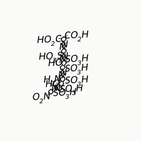 Nc1c(N=Nc2ccc3c(O)c(N=Nc4ccc(N=Nc5cc(C(=O)O)cc(C(=O)O)c5)cc4S(=O)(=O)O)c(S(=O)(=O)O)cc3c2S(=O)(=O)O)cc(S(=O)(=O)O)c2cc(S(=O)(=O)O)c(N=Nc3ccc([N+](=O)[O-])cc3S(=O)(=O)O)c(O)c12